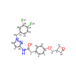 O=C(Cc1ccc(OCC2COC2)cc1)Nc1ccn(Cc2ccc(F)c(F)c2)n1